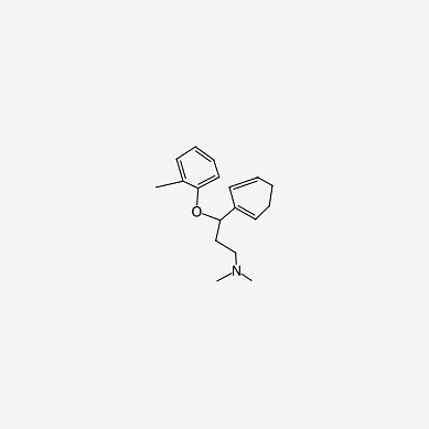 Cc1ccccc1OC(CCN(C)C)C1=CCCC=C1